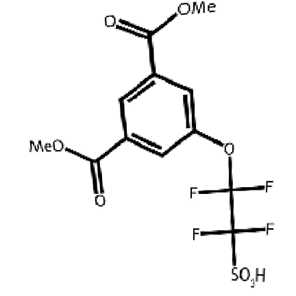 COC(=O)c1cc(OC(F)(F)C(F)(F)S(=O)(=O)O)cc(C(=O)OC)c1